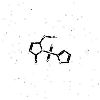 CCCCOC1C=CC(=O)N1S(=O)(=O)c1cccs1